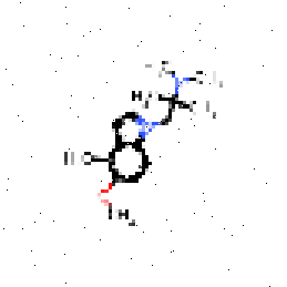 COc1ccc2c(ccn2CC(C)(C)N(C)C)c1C